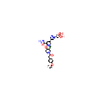 NC(=O)c1cc(-c2cnn(C3CS(O)(O)C3)c2)cnc1OC1CCN(C(=O)Cc2ccc(OC(F)(F)F)cc2)CC1F